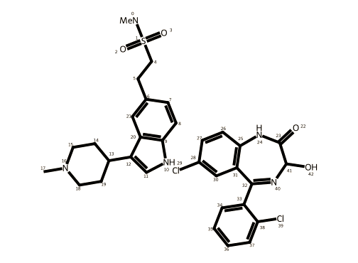 CNS(=O)(=O)CCc1ccc2[nH]cc(C3CCN(C)CC3)c2c1.O=C1Nc2ccc(Cl)cc2C(c2ccccc2Cl)=NC1O